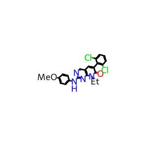 CCn1c(=O)c(-c2c(Cl)cccc2Cl)cc2cnc(Nc3ccc(OC)cc3)nc21